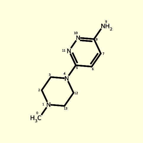 CN1CCN(c2ccc(N)nn2)CC1